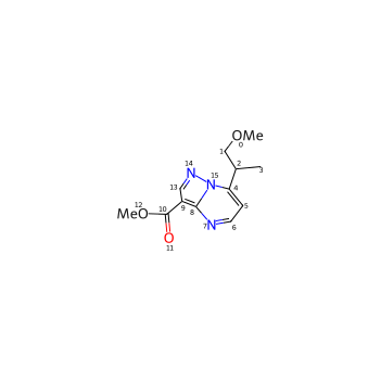 COCC(C)c1ccnc2c(C(=O)OC)cnn12